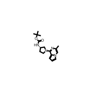 Cc1cn2cccc2c(N2CC[C@H](NC(=O)OC(C)(C)C)C2)n1